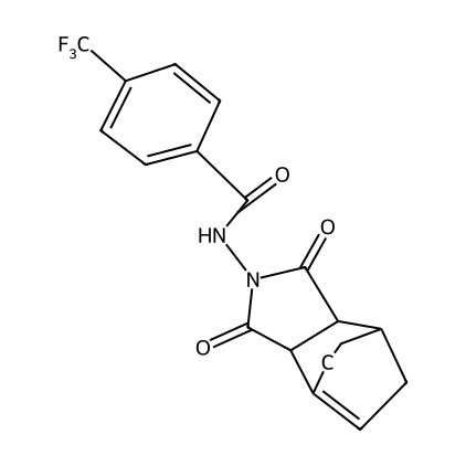 O=C(NN1C(=O)C2C3=CCC(CC3)C2C1=O)c1ccc(C(F)(F)F)cc1